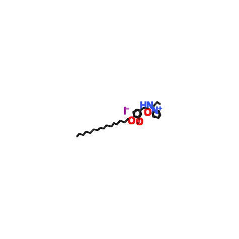 CCCCCCCCCCCCCCCCOc1ccc(CC(=O)NC(CC)[n+]2ccccc2)cc1OC.[I-]